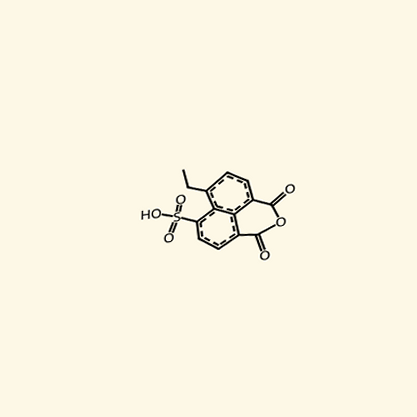 CCc1ccc2c3c(ccc(S(=O)(=O)O)c13)C(=O)OC2=O